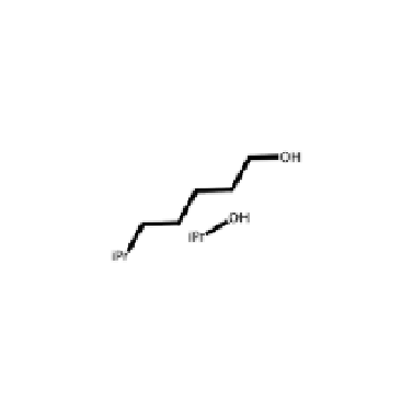 CC(C)CCCCCO.CC(C)O